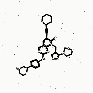 O=c1c(C#CC2CCCCO2)cc2cnc(Nc3ccc(C4CNCCS4)cc3)nc2n1Cc1cnsc1N1CCOCC1